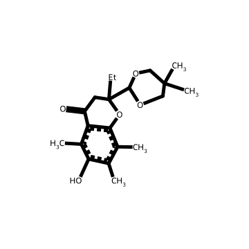 CCC1(C2OCC(C)(C)CO2)CC(=O)c2c(C)c(O)c(C)c(C)c2O1